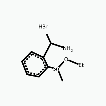 Br.CC[O][Sn]([CH3])[c]1ccccc1C(C)N